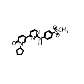 CS(=O)(=O)c1ccc(Nc2nccc(-c3ccc(=O)n(C4CCCC4)c3)n2)cc1